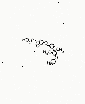 Cc1cc(OC2CCNCC2)cc(C)c1-c1cccc(COc2ccc3c(c2)OCC3CC(=O)O)c1